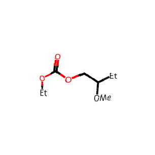 CCOC(=O)OCC(CC)OC